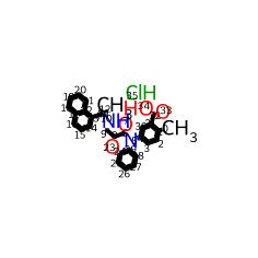 Cc1ccc(N2C(=O)C(CN[C@H](C)c3cccc4ccccc34)Oc3ccccc32)cc1C(=O)O.Cl